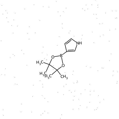 CC1(C)OB(c2cc[nH]c2)OC1(C)C